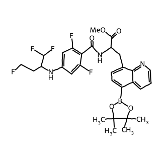 COC(=O)C(Cc1ccc(B2OC(C)(C)C(C)(C)O2)c2cccnc12)NC(=O)c1c(F)cc(NC(CCF)C(F)F)cc1F